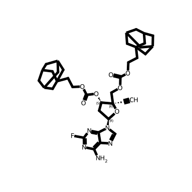 C#C[C@]1(COC(=O)OCCC23CC4CC(CC(C4)C2)C3)O[C@@H](n2cnc3c(N)nc(F)nc32)C[C@@H]1OC(=O)OCCC12CC3CC(CC(C3)C1)C2